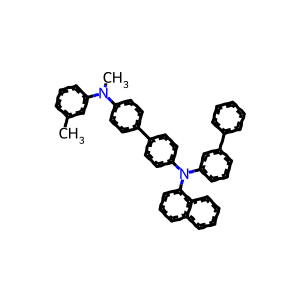 Cc1cccc(N(C)c2ccc(-c3ccc(N(c4cccc(-c5ccccc5)c4)c4cccc5ccccc45)cc3)cc2)c1